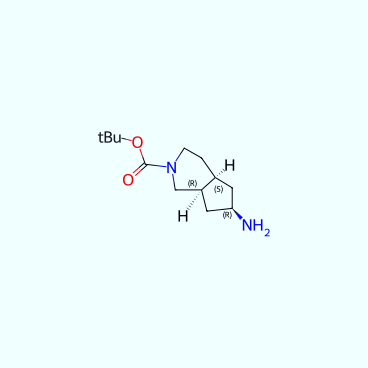 CC(C)(C)OC(=O)N1CC[C@H]2C[C@@H](N)C[C@H]2C1